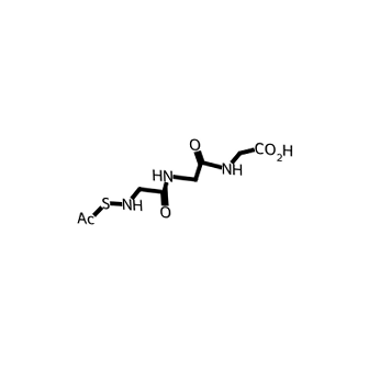 CC(=O)SNCC(=O)NCC(=O)NCC(=O)O